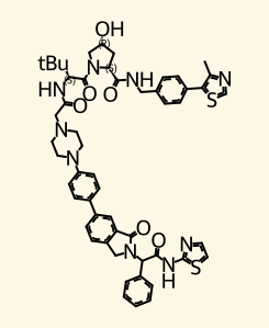 Cc1ncsc1-c1ccc(CNC(=O)[C@@H]2C[C@@H](O)CN2C(=O)[C@@H](NC(=O)CN2CCN(c3ccc(-c4ccc5c(c4)C(=O)N(C(C(=O)Nc4nccs4)c4ccccc4)C5)cc3)CC2)C(C)(C)C)cc1